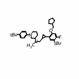 CN(CC1CC1c1cc(C(C)(C)C)c(F)cc1OCC1CCCC1)C1CCCN(c2ccc(C(C)(C)C)cc2)C1